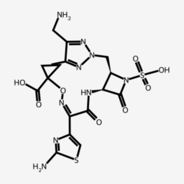 Cc1nn(C[C@@H]2[C@H](NC(=O)C(=NOC3(C(=O)O)CC3)c3csc(N)n3)C(=O)N2S(=O)(=O)O)nc1CN